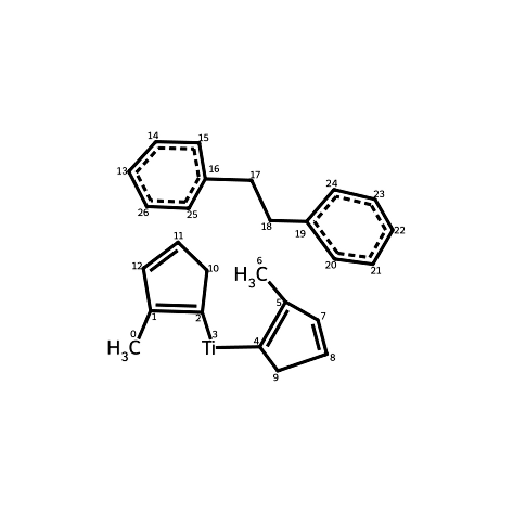 CC1=[C]([Ti][C]2=C(C)C=CC2)CC=C1.c1ccc(CCc2ccccc2)cc1